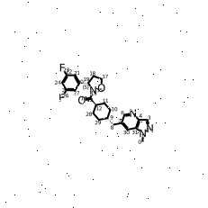 Cn1ncc2ncc(C[C@H]3CC[C@H](C(=O)N4OCC[C@H]4c4cc(F)cc(F)c4)CC3)cc21